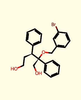 OCC[C@@H](c1ccccc1)[C@](CO)(OCc1cccc(Br)c1)c1ccccc1